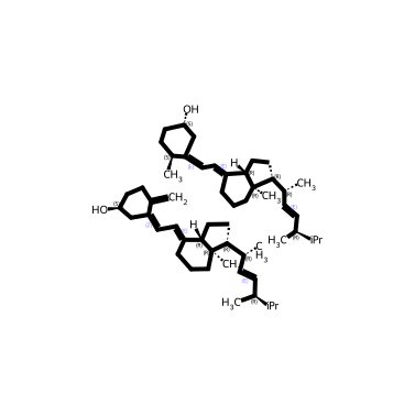 C=C1CC[C@H](O)C/C1=C/C=C1\CCC[C@]2(C)[C@@H]([C@H](C)/C=C/[C@H](C)C(C)C)CC[C@@H]12.CC(C)[C@@H](C)/C=C/[C@@H](C)[C@H]1CC[C@H]2/C(=C/C=C3\C[C@@H](O)CC[C@@H]3C)CCC[C@]12C